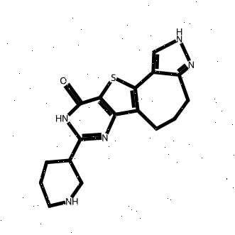 O=c1[nH]c(C2CCCNC2)nc2c3c(sc12)-c1c[nH]nc1CCC3